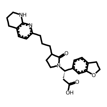 O=C(O)C[C@@H](c1ccc2c(c1)OCC2)N1CCC(CCCc2ccc3c(n2)NCCC3)C1=O